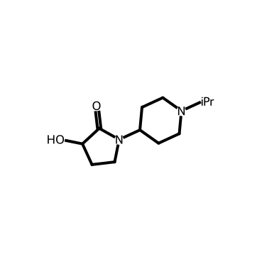 CC(C)N1CCC(N2CCC(O)C2=O)CC1